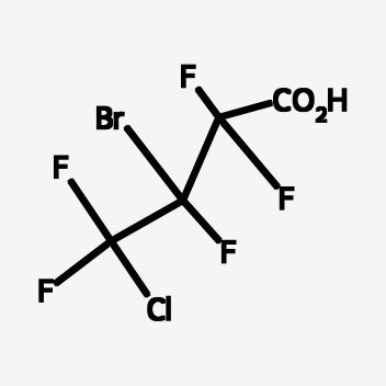 O=C(O)C(F)(F)C(F)(Br)C(F)(F)Cl